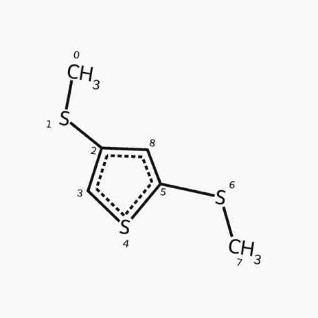 CSc1csc(SC)c1